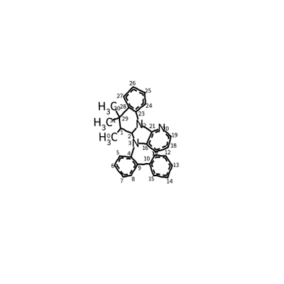 CC1C2N(c3ccccc3-c3ccccc3)c3cccnc3N2c2ccccc2C1(C)C